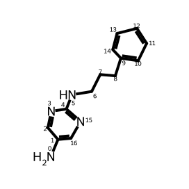 Nc1cnc(NCCCc2ccccc2)nc1